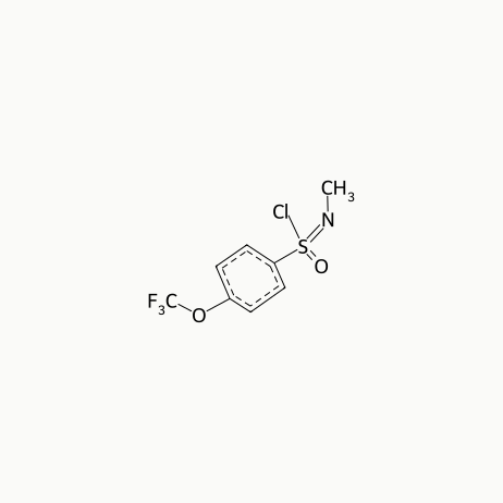 CN=S(=O)(Cl)c1ccc(OC(F)(F)F)cc1